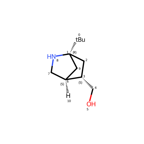 CC(C)(C)[C@@]12C[C@H](CO)[C@@H](CN1)C2